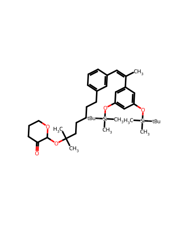 CC(=Cc1cccc(CCCCCC(C)(C)OC2OCCCC2=O)c1)c1cc(O[Si](C)(C)C(C)(C)C)cc(O[Si](C)(C)C(C)(C)C)c1